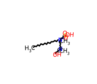 CCCCCCCCCCCCCCCC[N+](C)(CCCCN(C)CCCO)CCCS(=O)(=O)O